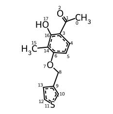 CC(=O)c1ccc(OCc2[c]scc2)c(C)c1O